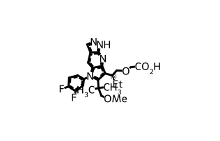 CC[C@H](COCC(=O)O)c1c(C(C)(C)COC)n(-c2ccc(F)c(F)c2)c2cc3cn[nH]c3nc12